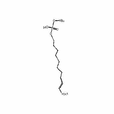 CCCCCCCCC=CCCCCCCCCOP(=O)(O)OCCCC